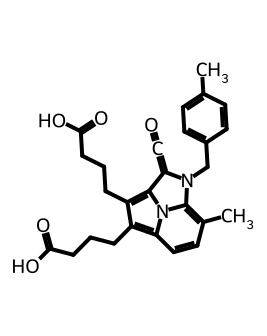 Cc1ccc(Cn2c(=C=O)c3c(CCCC(=O)O)c(CCCC(=O)O)c4ccc(C)c2n43)cc1